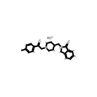 Cc1ccc(C(=O)CN2CCC(CN3Cc4ccccc4C3=O)CC2)cc1.Cl